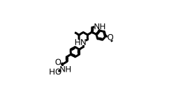 COc1ccc2c(C(CNCc3ccc(/C=C/C(=O)NO)cc3)CC(C)C)c[nH]c2c1